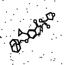 O=C(NS(=O)(=O)C1CCOC1)c1cc(C2CC2)c(OCC23CC4CC(CC(C4)C2)C3)cc1F